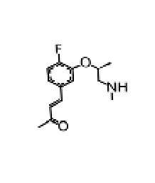 CNC[C@H](C)Oc1cc(/C=C/C(C)=O)ccc1F